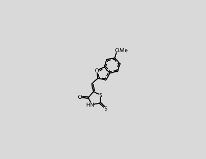 COc1ccc2cc(/C=C3\SC(=S)NC3=O)oc2c1